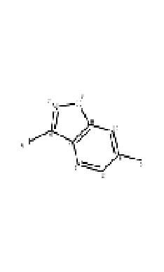 Cc1ccc2c(I)noc2c1